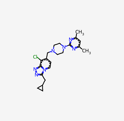 Cc1cc(C)nc(N2CCN(Cc3ccn4c(CC5CC5)nnc4c3Cl)CC2)n1